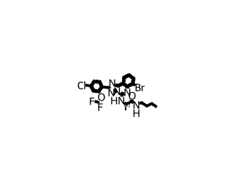 CCCCNC(=O)[C@@H](C)Nc1nc2c(Br)cccc2c2nc(-c3ccc(Cl)cc3OC(F)F)nn12